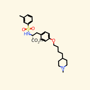 Cc1cccc(S(=O)(=O)N[C@H](Cc2ccc(OCCCCC3CCN(C)CC3)cc2)C(=O)O)c1